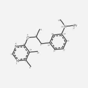 Cc1ncnc(OC(C)Cc2cccc(N(C)C(C)C)c2)c1C